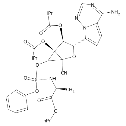 CCCOC(=O)[C@H](C)N[P@@](=O)(Oc1ccccc1)OC1C2(C#N)O[C@@H](c3ccc4c(N)ncnn34)[C@H](OC(=O)C(C)C)[C@@]12OC(=O)C(C)C